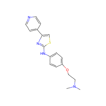 CN(C)CCOc1ccc(Nc2nc(-c3ccncc3)cs2)cc1